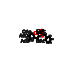 CC(=O)OC[C@H](OC(C)=O)[C@@H](OC(C)=O)[C@@H]1O[C@](OC(C)=O)(C(=O)OCc2ccccc2)C[C@H](OC(C)=O)[C@H]1OC(C)=O